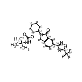 CC(C)(C)NC(=O)O[C@@H]1CCCC[C@H]1N1Cc2ccc(-c3noc(C(F)(F)F)n3)cc2C1=O